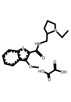 CCN1CCCC1CNC(=O)c1sc2ccccc2c1OC.O=C(O)C(=O)O